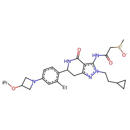 CCc1cc(N2CC(OC(C)C)C2)ccc1C1Cc2nn(CCC3CC3)c(NC(=O)C[S+](C)[O-])c2C(=O)N1